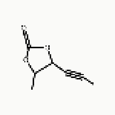 CC#CC1OC(=O)OC1C